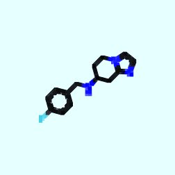 Fc1ccc(CN[C@H]2CCn3ccnc3C2)cc1